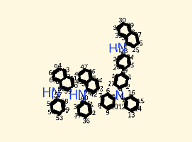 c1ccc(N(c2ccccc2)c2ccccc2)cc1.c1ccc(Nc2cccc3ccccc23)cc1.c1ccc(Nc2cccc3ccccc23)cc1.c1ccc(Nc2cccc3ccccc23)cc1